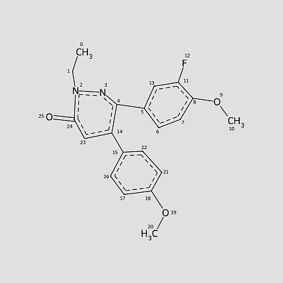 CCn1nc(-c2ccc(OC)c(F)c2)c(-c2ccc(OC)cc2)cc1=O